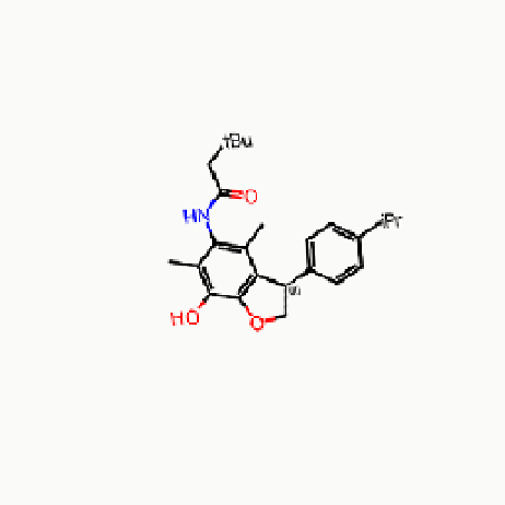 Cc1c(O)c2c(c(C)c1NC(=O)CC(C)(C)C)[C@@H](c1ccc(C(C)C)cc1)CO2